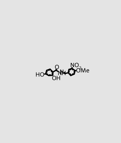 COc1ccc(C=NNC(=O)c2ccc(O)cc2O)cc1[N+](=O)[O-]